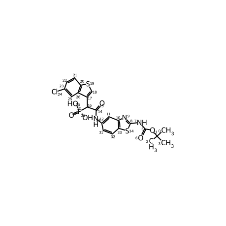 CC(C)(C)OC(=O)Nc1nc2cc(NC(=O)C(c3csc4ccc(Cl)cc34)P(=O)(O)O)ccc2s1